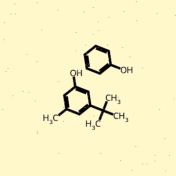 Cc1cc(O)cc(C(C)(C)C)c1.Oc1ccccc1